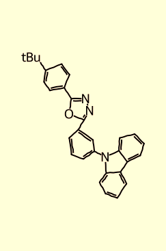 CC(C)(C)c1ccc(-c2nnc(-c3cccc(-n4c5ccccc5c5ccccc54)c3)o2)cc1